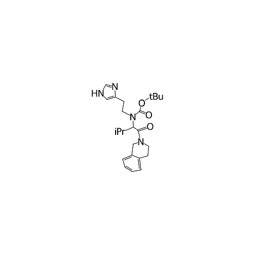 CC(C)C(C(=O)N1CCc2ccccc2C1)N(CCc1c[nH]cn1)C(=O)OC(C)(C)C